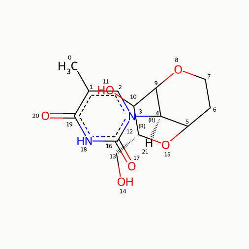 Cc1cn([C@@H]2C3CCOC2C(O)[C@@H](CO)O3)c(=O)[nH]c1=O